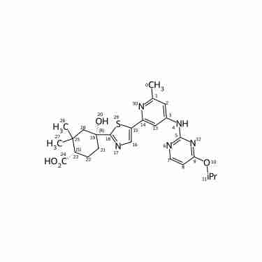 Cc1cc(Nc2nccc(OC(C)C)n2)cc(-c2cnc([C@@]3(O)CC[C@H](C(=O)O)C(C)(C)C3)s2)n1